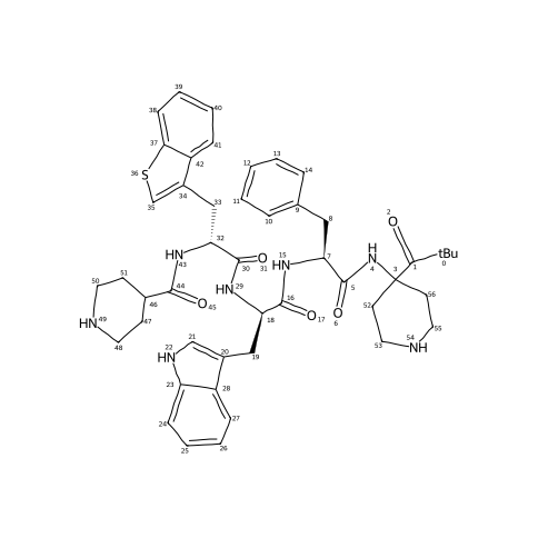 CC(C)(C)C(=O)C1(NC(=O)[C@H](Cc2ccccc2)NC(=O)[C@@H](Cc2c[nH]c3ccccc23)NC(=O)[C@@H](Cc2csc3ccccc23)NC(=O)C2CCNCC2)CCNCC1